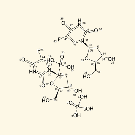 O=P(O)(O)O.O=c1[nH]c(=O)n([C@@]2(P(=O)(O)O)C[C@H](O)[C@@H](CO)O2)cc1F.O=c1[nH]c(=O)n([C@H]2C[C@H](O)[C@@H](CO)O2)cc1F